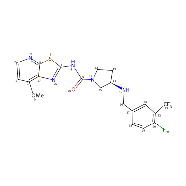 COc1ccnc2sc(NC(=O)N3CC[C@@H](NCc4ccc(F)c(C(F)(F)F)c4)C3)nc12